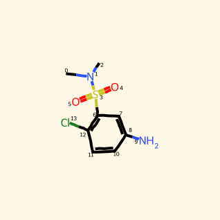 CN(C)S(=O)(=O)c1cc(N)ccc1Cl